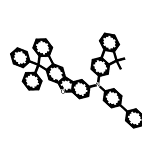 CC1(C)c2ccccc2-c2ccc(N(c3ccc(-c4ccccc4)cc3)c3ccc4oc5cc6c(cc5c4c3)-c3ccccc3C6(c3ccccc3)c3ccccc3)cc21